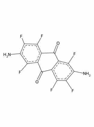 Nc1c(F)c(F)c2c(c1F)C(=O)c1c(F)c(F)c(N)c(F)c1C2=O